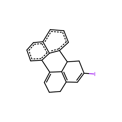 IC1=CC2=C3C(=CCC2)c2cccc4cccc(c24)C3C1